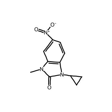 Cn1c(=O)n(C2CC2)c2ccc([N+](=O)[O-])cc21